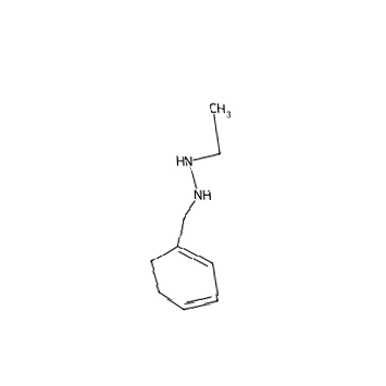 CCNNCC1=CC=CCC1